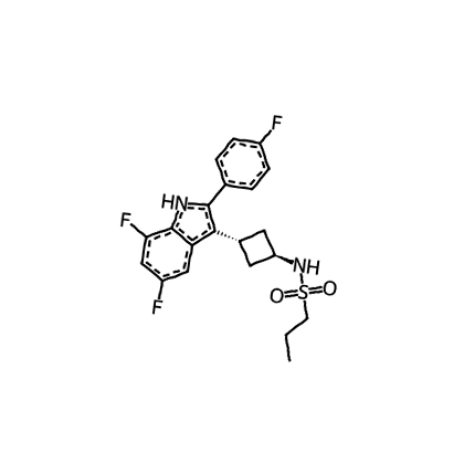 CCCS(=O)(=O)N[C@H]1C[C@H](c2c(-c3ccc(F)cc3)[nH]c3c(F)cc(F)cc32)C1